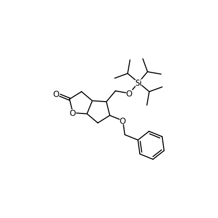 CC(C)[Si](OCC1C(OCc2ccccc2)CC2OC(=O)CC21)(C(C)C)C(C)C